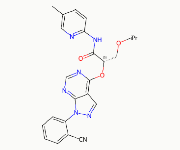 Cc1ccc(NC(=O)[C@H](COC(C)C)Oc2ncnc3c2cnn3-c2ccccc2C#N)nc1